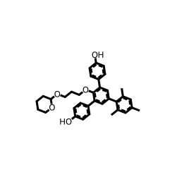 Cc1cc(C)c(-c2cc(-c3ccc(O)cc3)c(OCCCOC3CCCCO3)c(-c3ccc(O)cc3)c2)c(C)c1